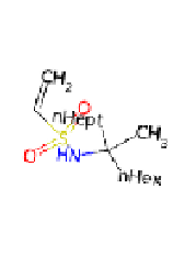 C=CS(=O)(=O)NC(C)(CCCCCC)CCCCCCC